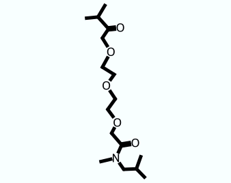 CC(C)CN(C)C(=O)COCCOCCOCC(=O)C(C)C